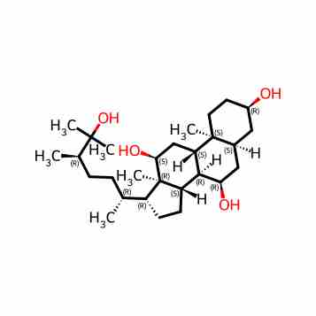 C[C@H](CC[C@@H](C)C(C)(C)O)[C@H]1CC[C@H]2[C@@H]3[C@H](O)C[C@@H]4C[C@H](O)CC[C@]4(C)[C@H]3C[C@H](O)[C@]12C